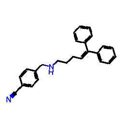 N#Cc1ccc(CNCCCC=C(c2ccccc2)c2ccccc2)cc1